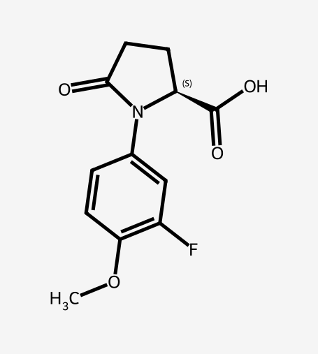 COc1ccc(N2C(=O)CC[C@H]2C(=O)O)cc1F